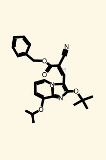 CC(C)Oc1cccn2c(/C=C(/C#N)C(=O)OCc3ccccc3)c(OC(C)(C)C)nc12